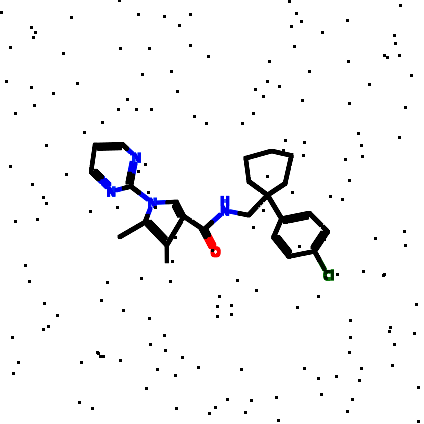 Cc1c(C(=O)NCC2(c3ccc(Cl)cc3)CCCCC2)cn(-c2ncccn2)c1C